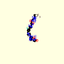 C[C@@H]1CN(Cc2ccc(-c3cnc(-c4cc(C(=O)NCc5nc(C(C)(C)C(F)(F)F)n[nH]5)on4)nc3)c(F)c2)CCN1c1cn2ncc(N3CCC(=O)NC3=O)c2cn1